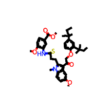 CCC(C)(C)c1ccc(OCC(=O)c2c(CCC(=S)Nc3cc(C(=O)OC)ccc3OC)n(C)c3ccc(OC)cc23)c(C(C)(C)CC)c1